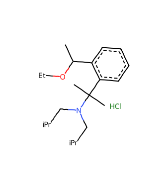 CCOC(C)c1ccccc1C(C)(C)N(CC(C)C)CC(C)C.Cl